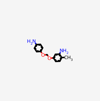 Cc1ccc(OCOc2ccc(N)cc2)cc1N